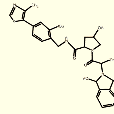 Cc1ncsc1-c1ccc(CNC(=O)C2CC(O)CN2C(=O)C(C(C)C)N2Cc3ccccc3C2O)c(C(C)(C)C)c1